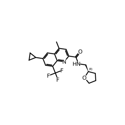 Cc1cc(C(=O)NC[C@H]2CCCO2)nc2c(C(F)(F)F)cc(C3CC3)cc12